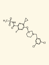 CS(=O)(=O)NC(=O)c1cc(C2CC2)c(O[C@@H]2CCCN(Cc3cc(Cl)cc(Cl)c3)C2)cc1F